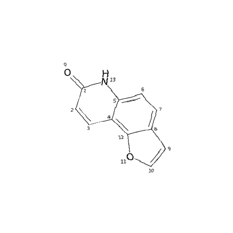 O=c1ccc2c(ccc3ccoc32)[nH]1